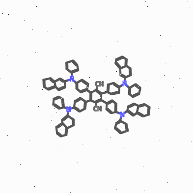 N#Cc1c(-c2ccc(N(c3ccccc3)c3ccc4ccccc4c3)cc2)c(-c2ccc(N(c3ccccc3)c3ccc4ccccc4c3)cc2)c(C#N)c(-c2ccc(N(c3ccccc3)c3ccc4ccccc4c3)cc2)c1-c1ccc(N(c2ccccc2)c2ccc3ccccc3c2)cc1